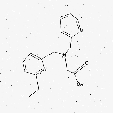 CCc1cccc(CN(CC(=O)O)Cc2ccccn2)n1